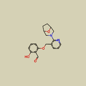 O=Cc1c(O)cccc1OCc1cccnc1N1CC2CCC(C1)O2